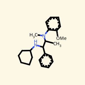 COc1ccccc1N(C)C(C)C(NC1CCCCC1)c1ccccc1